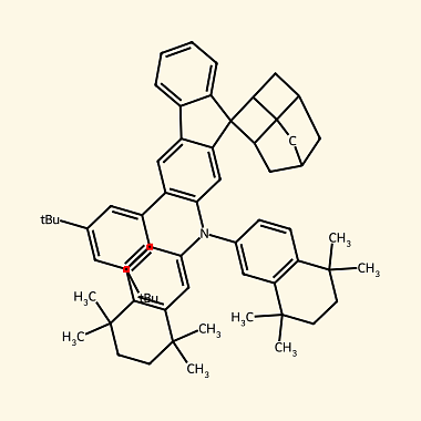 CC(C)(C)c1cc(-c2cc3c(cc2N(c2ccc4c(c2)C(C)(C)CCC4(C)C)c2ccc4c(c2)C(C)(C)CCC4(C)C)C2(c4ccccc4-3)C3CC4CC5CC2C53C4)cc(C(C)(C)C)c1